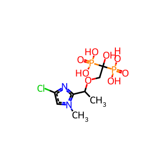 CC(OCC(O)(P(=O)(O)O)P(=O)(O)O)c1nc(Cl)cn1C